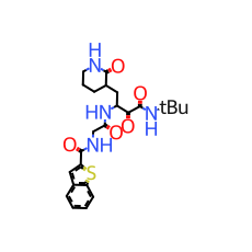 CC(C)(C)NC(=O)C(=O)C(CC1CCCNC1=O)NC(=O)CNC(=O)c1cc2ccccc2s1